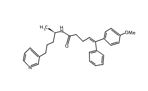 COc1ccc(/C(=C/CCC(=O)N[C@H](C)CCCc2cccnc2)c2ccccc2)cc1